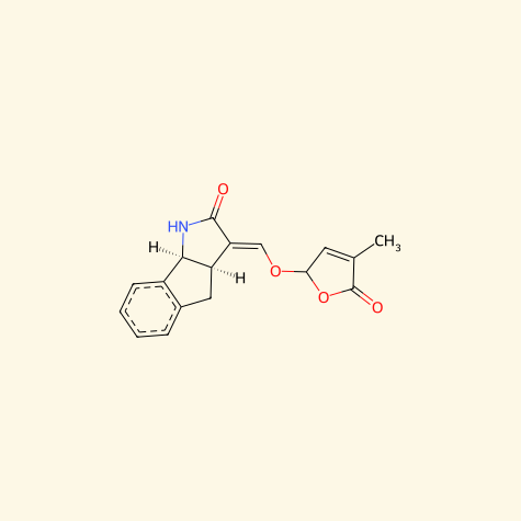 CC1=CC(O/C=C2/C(=O)N[C@@H]3c4ccccc4C[C@H]23)OC1=O